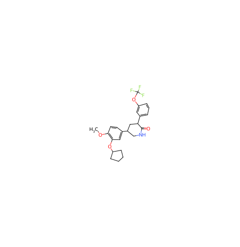 COc1ccc(C2CNC(=O)C(c3cccc(OC(F)(F)F)c3)C2)cc1OC1CCCC1